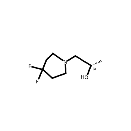 C[C@H](O)CN1CCC(F)(F)CC1